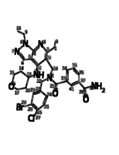 CCc1nc2c(cnn2CC)c(NC2CCOCC2)c1CN(Cc1ccc(Cl)c(Br)c1)C(=O)c1cccc(C(N)=O)c1